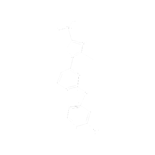 Cc1nc(N(C)C)sc1-c1ccnc(Nc2cccc([N+](=O)[O-])c2)n1